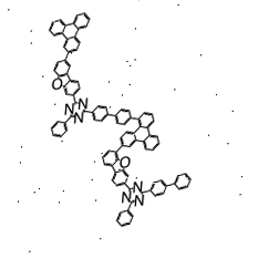 c1ccc(-c2ccc(-c3nc(-c4ccccc4)nc(-c4ccc5c(c4)oc4c(-c6ccc7c(c6)c6ccccc6c6cccc(-c8ccc(-c9ccc(-c%10nc(-c%11ccccc%11)nc(-c%11ccc%12c(c%11)oc%11ccc(-c%13ccc%14c%15ccccc%15c%15ccccc%15c%14c%13)cc%11%12)n%10)cc9)cc8)c67)cccc45)n3)cc2)cc1